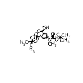 CN(C(=O)OC(C)(C)C)[C@@H]1C[C@@H](C(=O)O)N(C(=O)OC(C)(C)C)C1